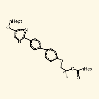 CCCCCCCOc1cnc(-c2ccc(-c3ccc(OC[C@@H](C)OC(=O)CCCCCC)cc3)cc2)nc1